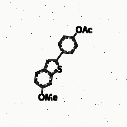 COc1ccc2cc(-c3ccc(OC(C)=O)cc3)sc2c1